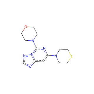 c1nc2cc(N3CCSCC3)nc(N3CCOCC3)n2n1